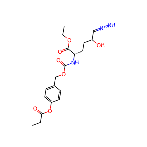 CCOC(=O)[C@H](CCC(O)C=[N+]=N)NC(=O)OCc1ccc(OC(=O)CC)cc1